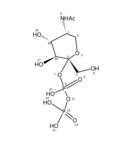 CC(=O)N[C@@H]1CO[C@](CO)(OP(=O)(O)OP(=O)(O)O)[C@@H](O)[C@@H]1O